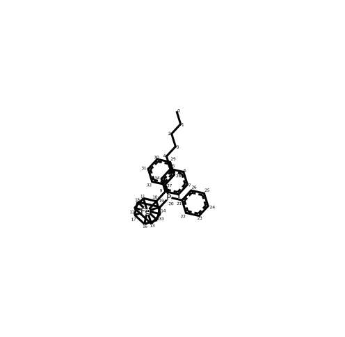 CCCCCc1cccc([C]23[CH]4[CH]5[CH]6[CH]2[Fe]56432789[CH]3[CH]2[CH]7[C]8(P(c2ccccc2)c2ccccc2)[CH]39)c1